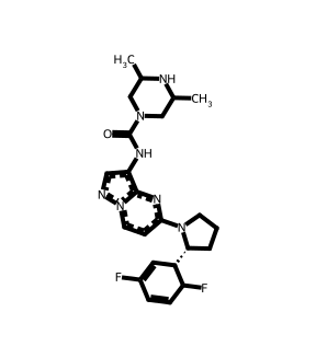 CC1CN(C(=O)Nc2cnn3ccc(N4CCC[C@@H]4C4C=C(F)C=CC4F)nc23)CC(C)N1